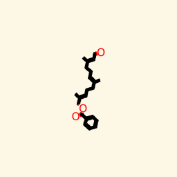 CC(=CC=O)CCC=C(C)CCC=C(C)COC(=O)c1ccccc1